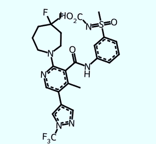 Cc1c(-c2cnn(C(F)(F)F)c2)cnc(N2CCCC(F)(F)CC2)c1C(=O)Nc1cccc(S(C)(=O)=NC(=O)O)c1